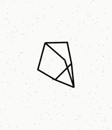 C1[C]2C3CC1CC23